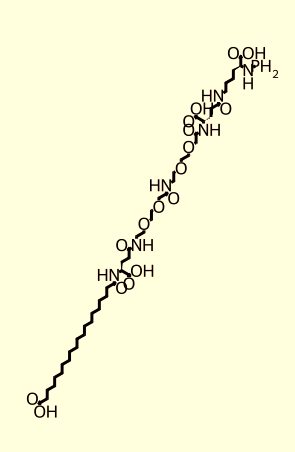 O=C(O)CCCCCCCCCCCCCCCCCCC(=O)N[C@@H](CCC(=O)NCCOCCOCC(=O)NCCOCCOCC(=O)N[C@@H](CCC(=O)NCCCC[C@H](NP)C(=O)O)C(=O)O)C(=O)O